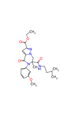 CCOC(=O)c1cc2n(n1)CC(C)(C(=O)NCCC(C)C)N(c1cccc(OC)c1)C2=O